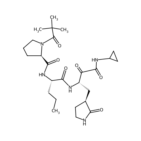 CCC[C@H](NC(=O)[C@H]1CCCN1C(=O)C(C)(C)C)C(=O)N[C@@H](C[C@@H]1CCNC1=O)C(=O)C(=O)NC1CC1